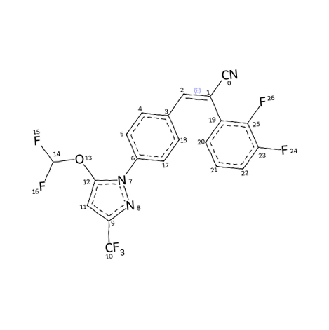 N#C/C(=C/c1ccc(-n2nc(C(F)(F)F)cc2OC(F)F)cc1)c1cccc(F)c1F